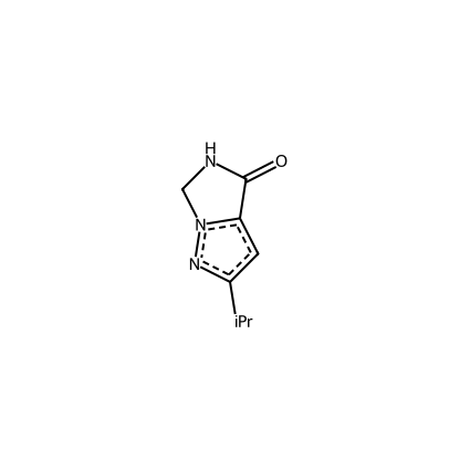 CC(C)c1cc2n(n1)CNC2=O